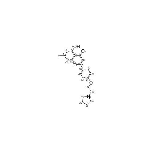 Cc1cc(O)c2c(=O)cc(-c3ccc(OCCN4CCCC4)cc3)oc2c1